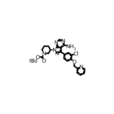 CC(C)(C)OC(=O)N1CCC[C@@H](n2nc(-c3ccc(OCc4ccccn4)c(Cl)c3)c3c(N)ncnc32)C1